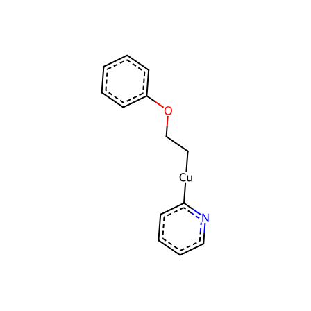 c1ccc(OC[CH2][Cu][c]2ccccn2)cc1